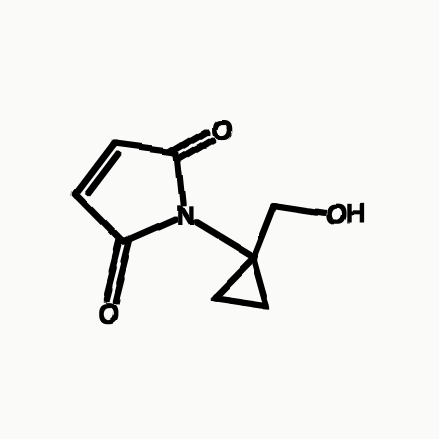 O=C1C=CC(=O)N1C1(CO)CC1